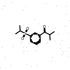 CC(C)C(=O)c1c#ccc(S(=O)(=O)C(C)C)c1